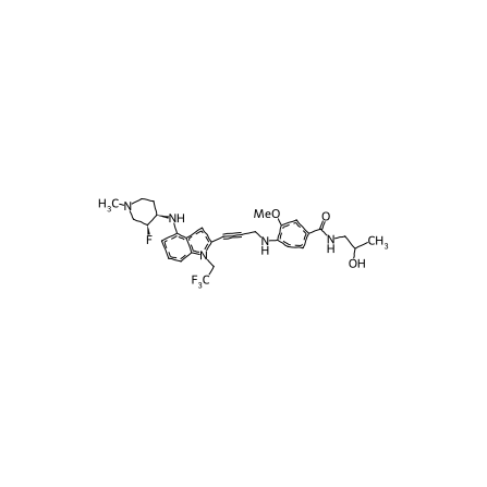 COc1cc(C(=O)NCC(C)O)ccc1NCC#Cc1cc2c(N[C@@H]3CCN(C)C[C@@H]3F)cccc2n1CC(F)(F)F